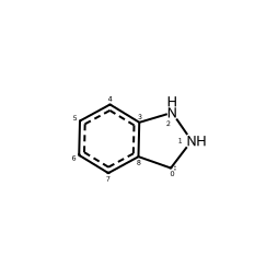 [C]1NNc2ccccc21